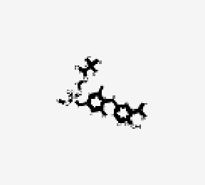 COP(=O)(Cc1cc(C)c(Cc2ccc(O)c(C(C)C)c2)c(C)c1)OCOC(=O)C(C)(C)C